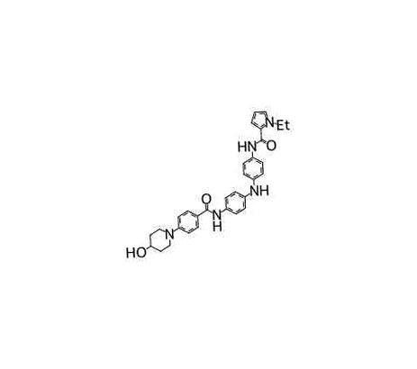 CCn1cccc1C(=O)Nc1ccc(Nc2ccc(NC(=O)c3ccc(N4CCC(O)CC4)cc3)cc2)cc1